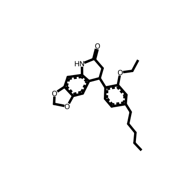 CCCCCc1ccc(C2CC(=O)Nc3cc4c(cc32)OCO4)c(OCC)c1